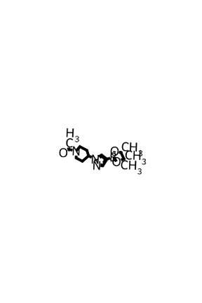 CC(=O)N1CCC(n2cc(B3OC(C)C(C)(C)O3)cn2)CC1